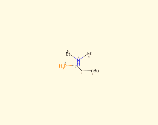 CCCCCCP.CCNCC